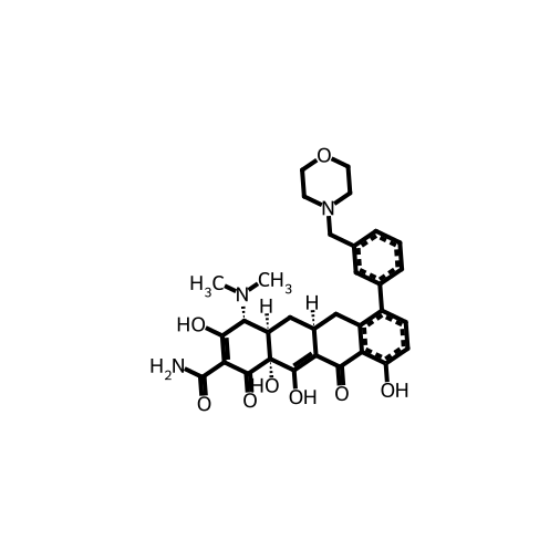 CN(C)[C@H]1C(O)=C(C(N)=O)C(=O)[C@]2(O)C(O)=C3C(=O)c4c(O)ccc(-c5cccc(CN6CCOCC6)c5)c4C[C@@H]3C[C@H]12